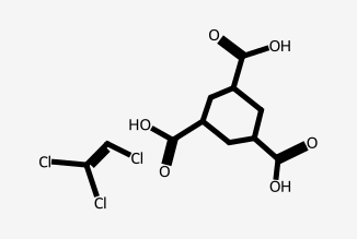 ClC=C(Cl)Cl.O=C(O)C1CC(C(=O)O)CC(C(=O)O)C1